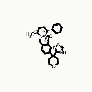 C[C@H]1CC[C@H](c2ccccc2)S(=O)(=O)N1Cc1ccc(C2(c3nnc[nH]3)CCOCC2)cc1F